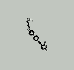 CCCCCOc1ccc([C@H]2CC[C@H](C#Cc3ccc(F)nc3F)CC2)cc1